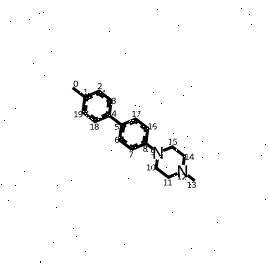 Cc1[c]cc(-c2ccc(N3CCN(C)CC3)cc2)cc1